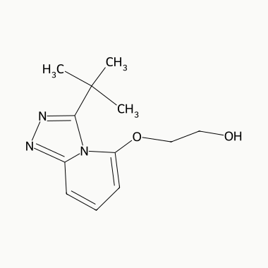 CC(C)(C)c1nnc2cccc(OCCO)n12